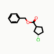 O=C(OCc1ccccc1)C1CC[C@H](Cl)C1